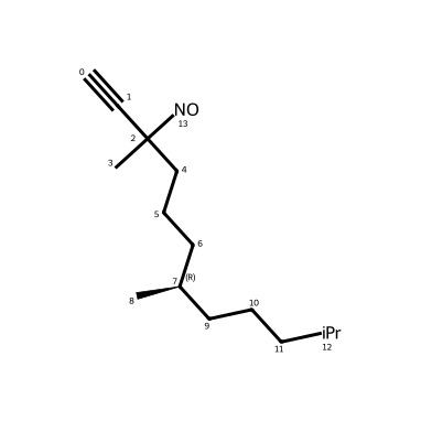 C#CC(C)(CCC[C@H](C)CCCC(C)C)N=O